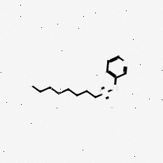 CCCCCCCCS(=O)(=O)Nc1cccnc1